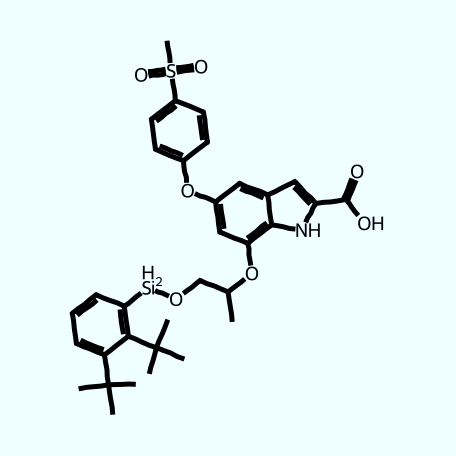 CC(CO[SiH2]c1cccc(C(C)(C)C)c1C(C)(C)C)Oc1cc(Oc2ccc(S(C)(=O)=O)cc2)cc2cc(C(=O)O)[nH]c12